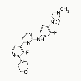 CN1CC2CC1CN2c1ccc(Nc2nccc(-c3ccnc(N4CCOCC4)c3F)n2)cc1F